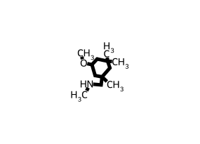 CNCC1(C)CC(OC)CC(C)(C)C1